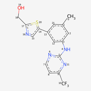 Cc1cc(Nc2nccc(C(F)(F)F)n2)cc(-c2cnc(CO)s2)c1